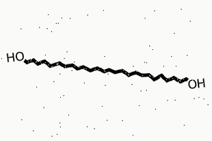 OCCCCCCCCCCCCCCCCCCCCCCCCCCO